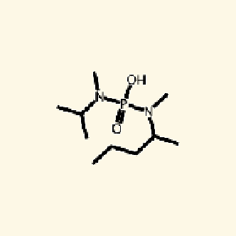 CCCC(C)N(C)P(=O)(O)N(C)C(C)C